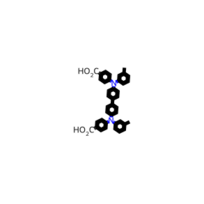 Cc1cccc(N(c2ccc(C(=O)O)cc2)c2ccc(-c3ccc(N(c4ccc(C(=O)O)cc4)c4cccc(C)c4)cc3)cc2)c1